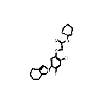 O=C(CSc1cc(-n2cc3c(c2)CCCC3)c(F)cc1Cl)OC1CCCCC1